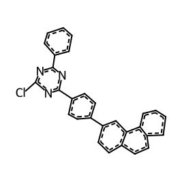 Clc1nc(-c2ccccc2)nc(-c2ccc(-c3ccc4ccc5ccccc5c4c3)cc2)n1